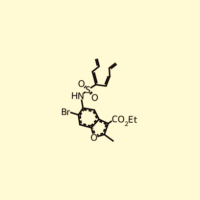 C=C/C=C\C(=C/C=C)S(=O)(=O)Nc1cc2c(C(=O)OCC)c(C)oc2cc1Br